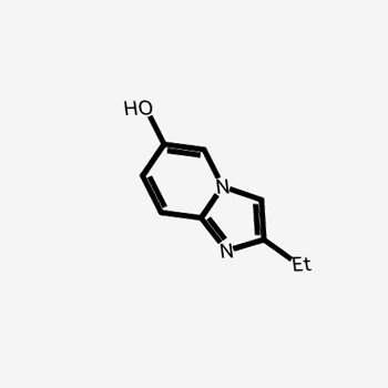 CCc1cn2cc(O)ccc2n1